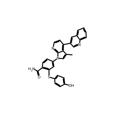 Cc1cn(-c2ccc(C(N)=O)c(Sc3ccc(O)cc3)c2)c2nccc(-c3cnc4ccccc4c3)c12